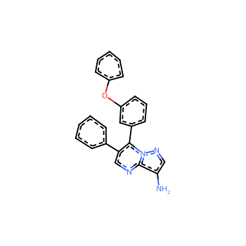 Nc1cnn2c(-c3cccc(Oc4ccccc4)c3)c(-c3ccccc3)cnc12